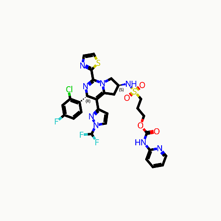 O=C(Nc1ccccn1)OCCCS(=O)(=O)N[C@H]1CC2=C(c3ccn(C(F)F)n3)[C@H](c3ccc(F)cc3Cl)N=C(c3nccs3)N2C1